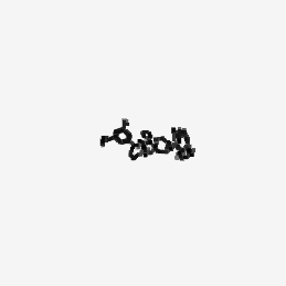 O=C1N2[C@H](c3cc(F)cc(F)c3)CCN2CC12CCN(c1nccn3ncnc13)CC2